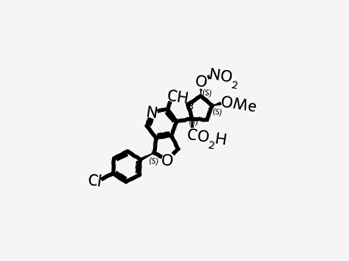 CO[C@H]1C[C@](C(=O)O)(c2c(C)ncc3c2CO[C@H]3c2ccc(Cl)cc2)C[C@@H]1O[N+](=O)[O-]